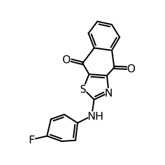 O=C1c2ccccc2C(=O)c2sc(Nc3ccc(F)cc3)nc21